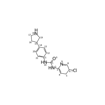 O=C(NC1=CCC(Cl)C=N1)Nc1ccc(C2CCNC2)cc1